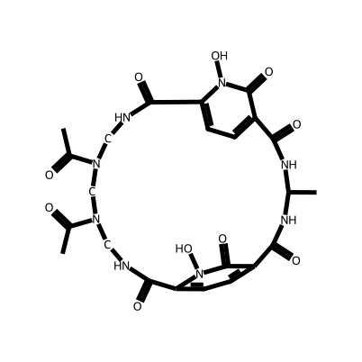 CC(=O)N1CNC(=O)c2ccc(c(=O)n2O)C(=O)NC(C)NC(=O)c2ccc(n(O)c2=O)C(=O)NCN(C(C)=O)C1